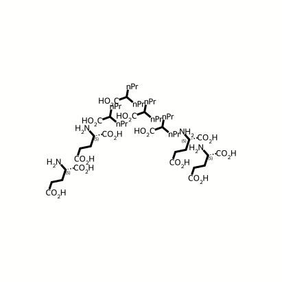 CCCC(CCC)C(=O)O.CCCC(CCC)C(=O)O.CCCC(CCC)C(=O)O.CCCC(CCC)C(=O)O.N[C@@H](CCC(=O)O)C(=O)O.N[C@@H](CCC(=O)O)C(=O)O.N[C@@H](CCC(=O)O)C(=O)O.N[C@@H](CCC(=O)O)C(=O)O